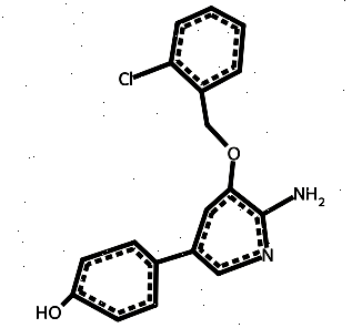 Nc1ncc(-c2ccc(O)cc2)cc1OCc1ccccc1Cl